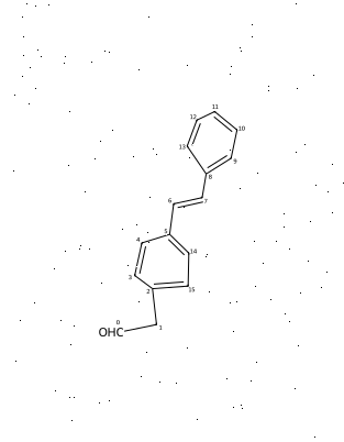 O=CCc1ccc(C=Cc2ccccc2)cc1